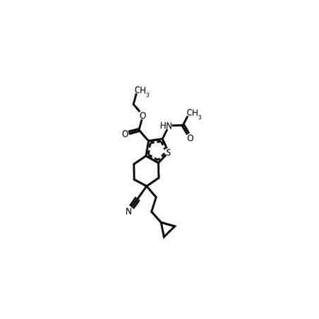 CCOC(=O)c1c(NC(C)=O)sc2c1CCC(C#N)(CCC1CC1)C2